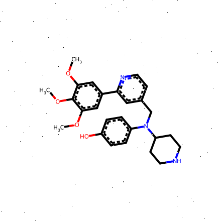 COc1cc(-c2cc(CN(c3ccc(O)cc3)C3CCNCC3)ccn2)cc(OC)c1OC